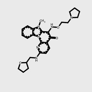 Cn1c2ccccc2n2c3nc(NCC4CCCO4)ccc3c(=O)c(NOCCN3CCCC3)c12